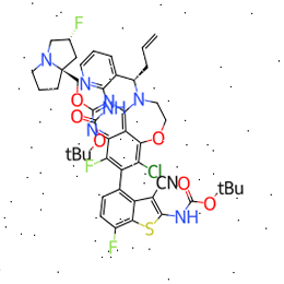 C=CC[C@H](c1cccnc1NC(=O)OC(C)(C)C)N1CCOc2c(Cl)c(-c3ccc(F)c4sc(NC(=O)OC(C)(C)C)c(C#N)c34)c(F)c3nc(OC[C@@]45CCCN4C[C@H](F)C5)nc1c23